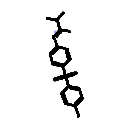 C/C(=N\c1ccc(S(=O)(=O)c2ccc(F)cc2)cc1)N(C)C